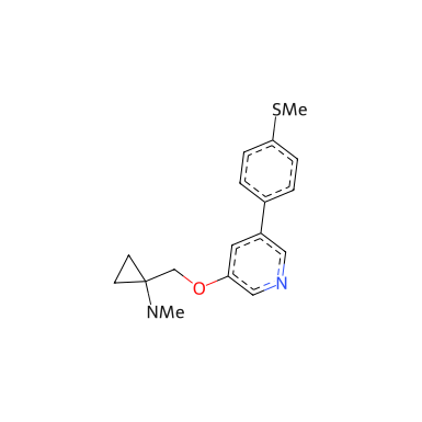 CNC1(COc2cncc(-c3ccc(SC)cc3)c2)CC1